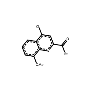 CCC(=O)c1cc(Cl)c2cccc(OC)c2n1